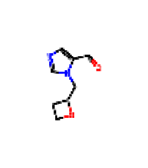 O=Cc1cncn1CC1CCO1